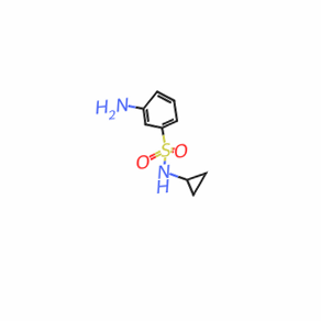 Nc1cccc(S(=O)(=O)NC2CC2)c1